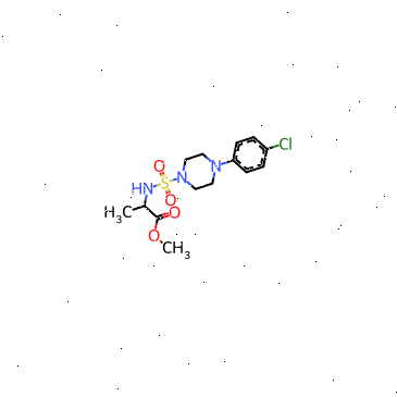 COC(=O)C(C)NS(=O)(=O)N1CCN(c2ccc(Cl)cc2)CC1